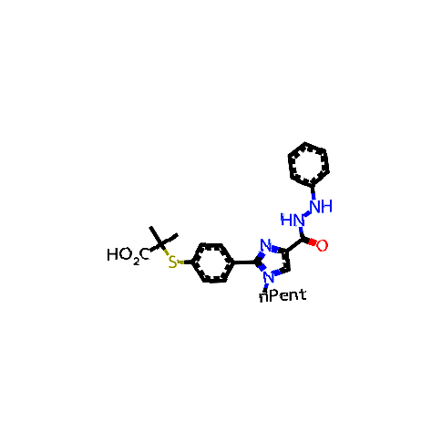 CCCCCn1cc(C(=O)NNc2ccccc2)nc1-c1ccc(SC(C)(C)C(=O)O)cc1